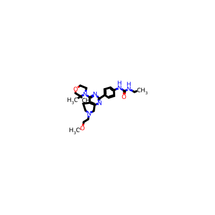 CCNC(=O)Nc1ccc(-c2nc3c(c(N4CCOCC4(C)C)n2)CCN(CCOC)C3)cc1